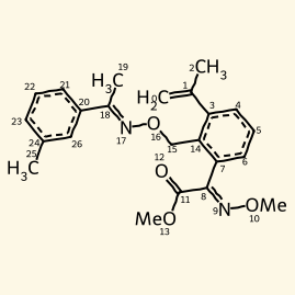 C=C(C)c1cccc(/C(=N\OC)C(=O)OC)c1CO/N=C(\C)c1cccc(C)c1